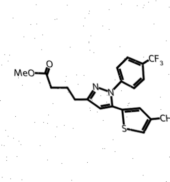 COC(=O)CCCc1cc(-c2cc(C)cs2)n(-c2ccc(C(F)(F)F)cc2)n1